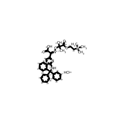 CC(C)(ON=C(C(=O)O)c1csc(NC(c2ccccc2)(c2ccccc2)c2ccccc2)n1)C(=O)OCC[Si](C)(C)C.Cl